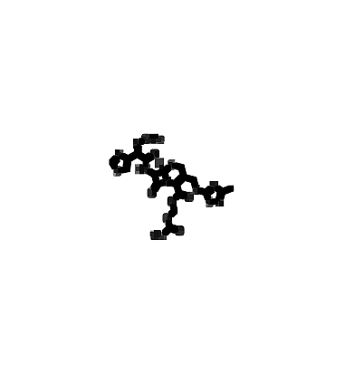 CO/N=C(\C(=O)NC1C(=O)N2C(C(=O)OCOC(=O)C(C)(C)C)=C(CSc3nc(C)ns3)CS[C@H]12)c1cscn1